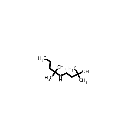 CCCC(C)(C)NCCC(C)(C)O